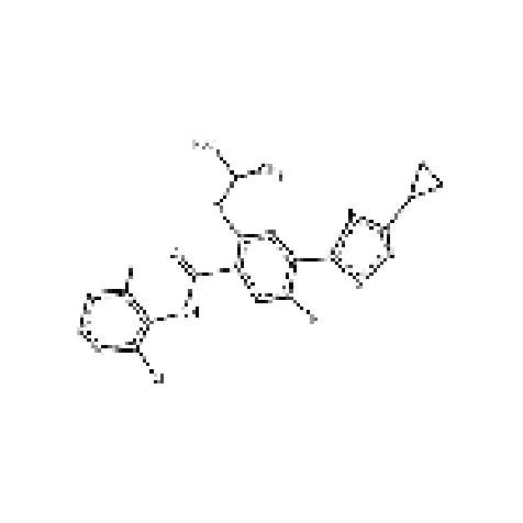 CC(Oc1cc(-c2nc(C3CC3)ns2)c(F)cc1C(=O)Nc1c(F)cccc1Cl)C(F)(F)F